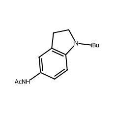 CCC(C)N1CCc2cc(NC(C)=O)ccc21